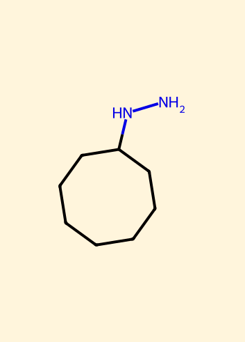 NNC1CCCCCCC1